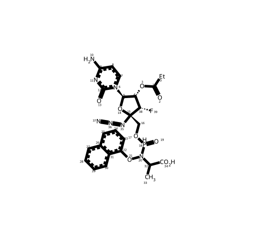 CCC(=O)O[C@H]1[C@H](n2ccc(N)nc2=O)O[C@@](CO[PH](=O)N(Oc2cccc3ccccc23)C(C)C(=O)O)(N=[N+]=[N-])[C@H]1F